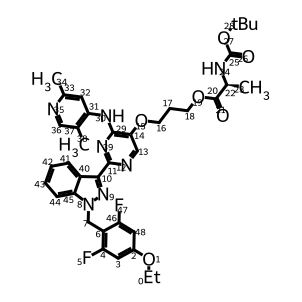 CCOc1cc(F)c(Cn2nc(-c3ncc(OCCCOC(=O)[C@H](C)NC(=O)OC(C)(C)C)c(Nc4cc(C)ncc4C)n3)c3ccccc32)c(F)c1